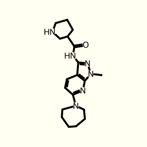 Cn1nc(NC(=O)C2CCCNC2)c2ccc(N3CCCCCC3)nc21